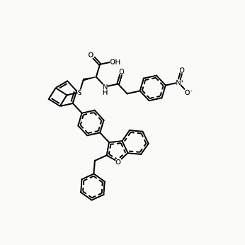 O=C(Cc1ccc([N+](=O)[O-])cc1)N[C@@H](CSC1C2=CC=C(c3ccc(-c4c(Cc5ccccc5)oc5ccccc45)cc3)C1=C2)C(=O)O